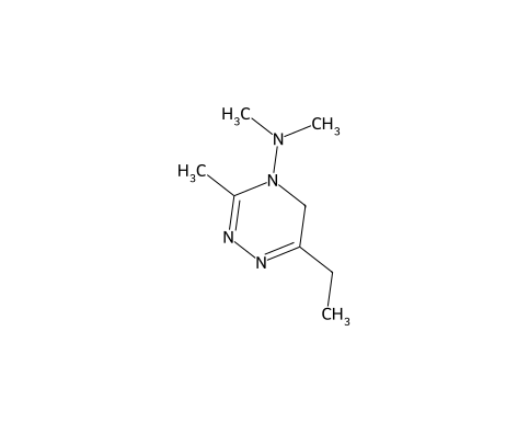 CCC1=NN=C(C)N(N(C)C)C1